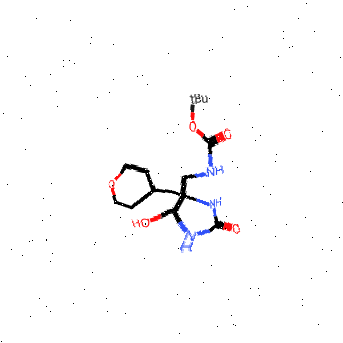 CC(C)(C)OC(=O)NCC1(C2CCOCC2)NC(=O)NC1O